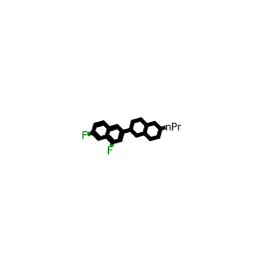 CCCC1CCC2CC(c3cc(F)c4cc(F)ccc4c3)CCC2C1